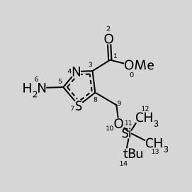 COC(=O)c1nc(N)sc1CO[Si](C)(C)C(C)(C)C